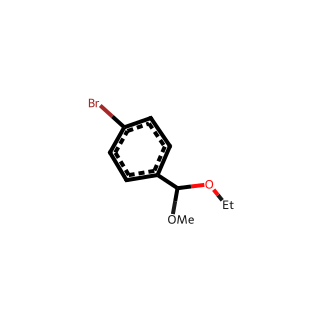 CCOC(OC)c1ccc(Br)cc1